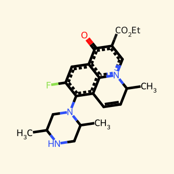 CCOC(=O)c1cn2c3c(c(N4CC(C)NCC4C)c(F)cc3c1=O)C=CC2C